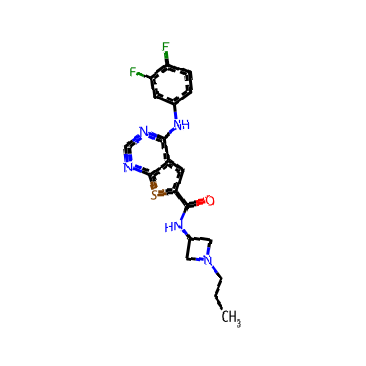 CCCN1CC(NC(=O)c2cc3c(Nc4ccc(F)c(F)c4)ncnc3s2)C1